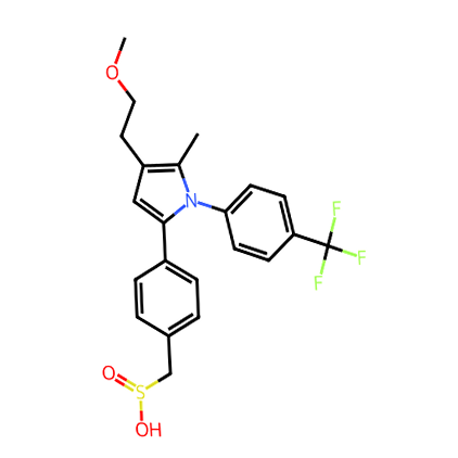 COCCc1cc(-c2ccc(CS(=O)O)cc2)n(-c2ccc(C(F)(F)F)cc2)c1C